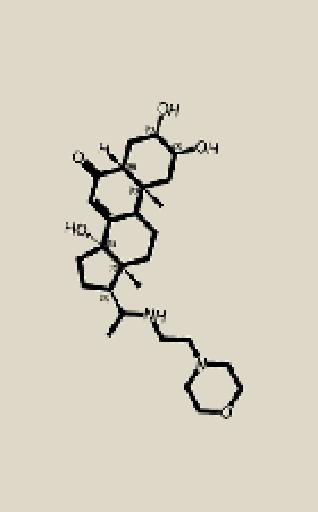 CC(NCCN1CCOCC1)[C@H]1CC[C@@]2(O)C3=CC(=O)[C@@H]4C[C@@H](O)[C@@H](O)C[C@]4(C)C3CC[C@]12C